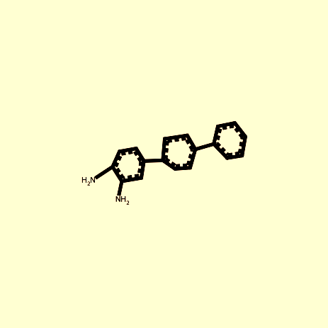 Nc1ccc(-c2ccc(-c3ccccc3)cc2)cc1N